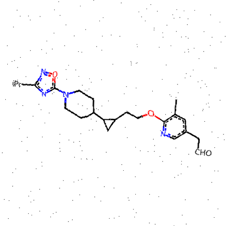 Cc1cc(CC=O)cnc1OCCC1CC1C1CCN(c2nc(C(C)C)no2)CC1